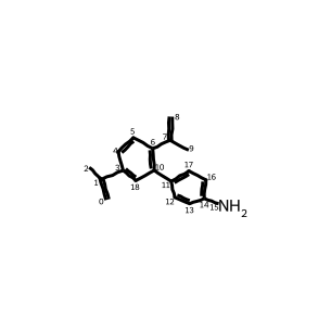 C=C(C)c1ccc(C(=C)C)c(-c2ccc(N)cc2)c1